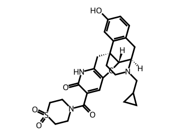 O=C(c1cc2c([nH]c1=O)C[C@]13CCN(CC4CC4)[C@H](Cc4ccc(O)cc41)[C@@H]3C2)N1CCS(=O)(=O)CC1